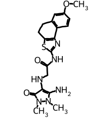 COc1ccc2c(c1)CCc1sc(NC(=O)CNc3c(N)n(C)n(C)c3=O)nc1-2